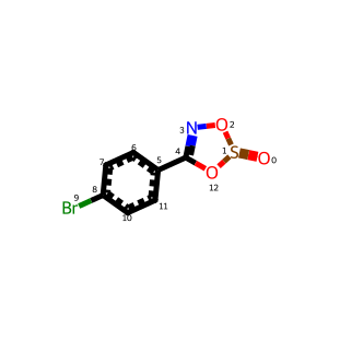 O=S1ON=C(c2ccc(Br)cc2)O1